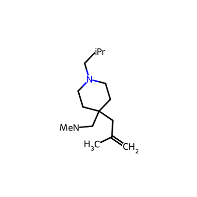 C=C(C)CC1(CNC)CCN(CC(C)C)CC1